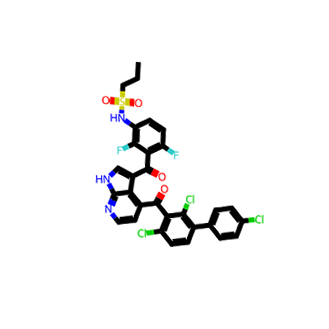 CCCS(=O)(=O)Nc1ccc(F)c(C(=O)c2c[nH]c3nccc(C(=O)c4c(Cl)ccc(-c5ccc(Cl)cc5)c4Cl)c23)c1F